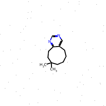 CC1(C)CCCCc2cncnc2CC1